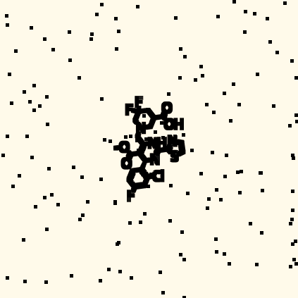 COC(=O)C1=C(CN2CC(C(=O)O)CC(F)(F)C2)NC(c2nccs2)=N[C@H]1c1ccc(F)cc1Cl